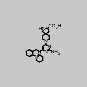 Nc1nc(NCc2ccccc2N2CCCCC2)cc(N2CCC3(CC2)CN[C@H](C(=O)O)C3)n1